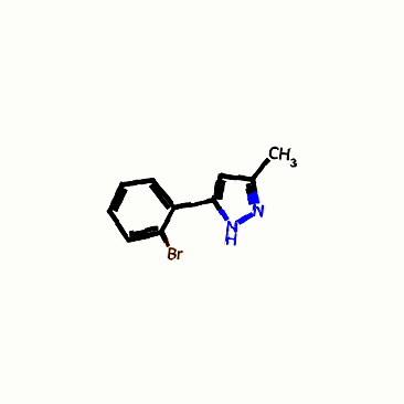 Cc1cc(-c2ccccc2Br)[nH]n1